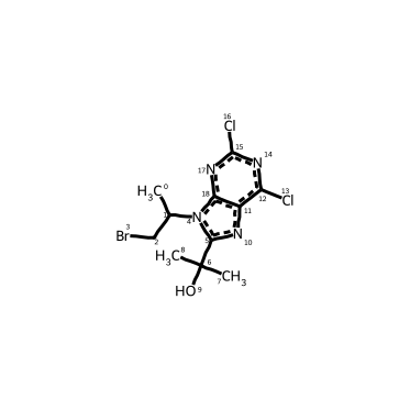 CC(CBr)n1c(C(C)(C)O)nc2c(Cl)nc(Cl)nc21